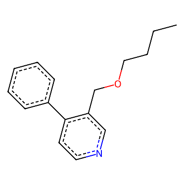 CCCCOCc1cnccc1-c1ccccc1